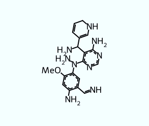 COc1cc(N)c(C=N)cc1N(N)c1ncnc(N)c1C(N)C1=CNCC=C1